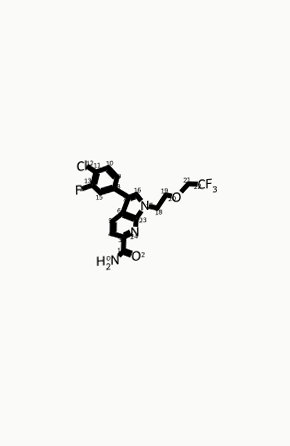 NC(=O)c1ccc2c(-c3ccc(Cl)c(F)c3)cn(CCOCC(F)(F)F)c2n1